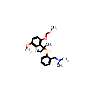 CCC(C)(Pc1ccccc1CN(C)C)c1cc(OC)ccc1OCOC